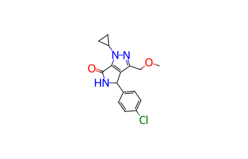 COCc1nn(C2CC2)c2c1C(c1ccc(Cl)cc1)NC2=O